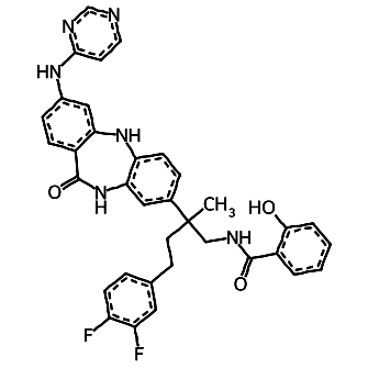 CC(CCc1ccc(F)c(F)c1)(CNC(=O)c1ccccc1O)c1ccc2c(c1)NC(=O)c1ccc(Nc3ccncn3)cc1N2